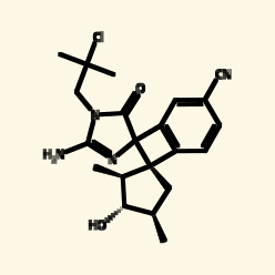 C[C@@H]1C[C@@]2(c3ccc(C#N)cc3C23N=C(N)N(CC(C)(C)Cl)C3=O)[C@H](C)[C@H]1O